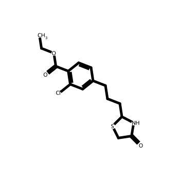 CCOC(=O)c1ccc(CCCC2NC(=O)CS2)cc1Cl